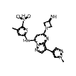 Cc1cc(Nc2cc(N3CC(=N)C3)nc3c(-c4cnn(C)c4)cnn23)sc1[SH](=O)=O